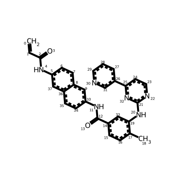 C=CC(=O)Nc1ccc2cc(NC(=O)c3ccc(C)c(Nc4nccc(-c5cccnc5)n4)c3)ccc2c1